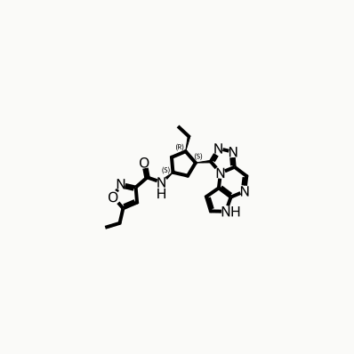 CCc1cc(C(=O)N[C@H]2C[C@@H](CC)[C@@H](c3nnc4cnc5[nH]ccc5n34)C2)no1